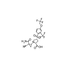 N#CC1(C(N)=O)CC1N1C[C@H](S(=O)(=O)c2ccc(OCC(F)(F)F)cc2C(F)(F)F)C[C@H]1C(=O)O